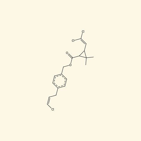 CC1(C)C(C=C(Cl)Cl)C1C(=O)OCc1ccc(C/C=C\Cl)cc1